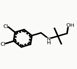 CC(C)(CO)NCc1ccc(Cl)c(Cl)c1